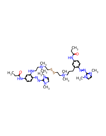 CCC(=O)Nc1ccc(/N=N/c2n(C)cc[n+]2C)c(CCC[N+](C)(C)CCSSCC[N+](C)(C)CCNc2cc(NC(=O)CC)ccc2/N=N/c2n(C)cc[n+]2C)c1